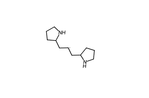 [CH](CC1CCCN1)CC1CCCN1